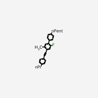 CCCCCc1ccc(-c2cc(C)c(C#Cc3ccc(CCC)cc3)cc2F)cc1